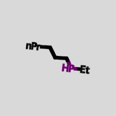 CCCCCCPCC